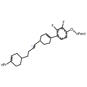 CCCCCOc1ccc(C2=CCC(/C=C/CCC3CC=C(CCC)CC3)CC2)c(F)c1F